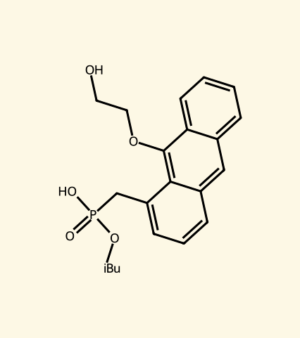 CCC(C)OP(=O)(O)Cc1cccc2cc3ccccc3c(OCCO)c12